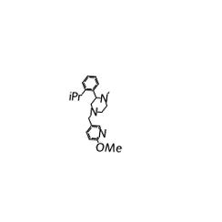 COc1ccc(CN2CCN(C)C(c3ccccc3C(C)C)C2)cn1